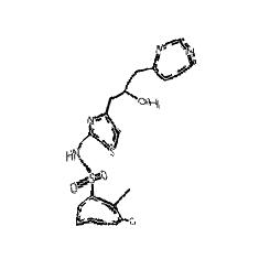 Cc1c(Cl)cccc1S(=O)(=O)Nc1nc(CC(O)Cc2ccncn2)cs1